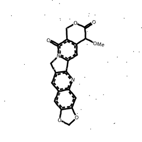 COC1C(=O)OCc2c1cc1n(c2=O)Cc2cc3cc4c(cc3nc2-1)OCO4